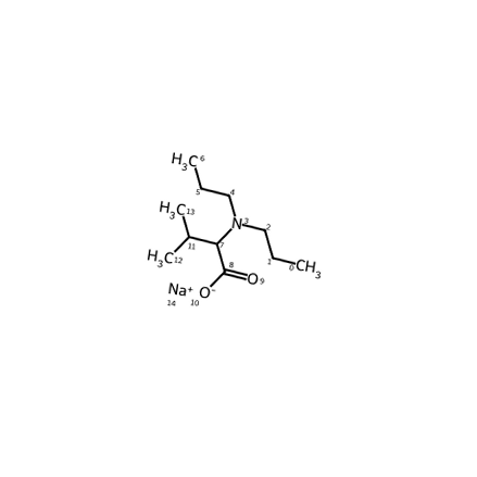 CCCN(CCC)C(C(=O)[O-])C(C)C.[Na+]